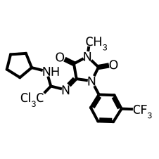 CN1C(=O)C(=NC(NC2CCCC2)C(Cl)(Cl)Cl)N(c2cccc(C(F)(F)F)c2)C1=O